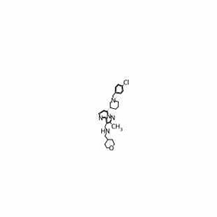 Cc1nn2c([C@H]3CCCN(Cc4ccc(Cl)cc4)C3)ccnc2c1CNCC1CCOCC1